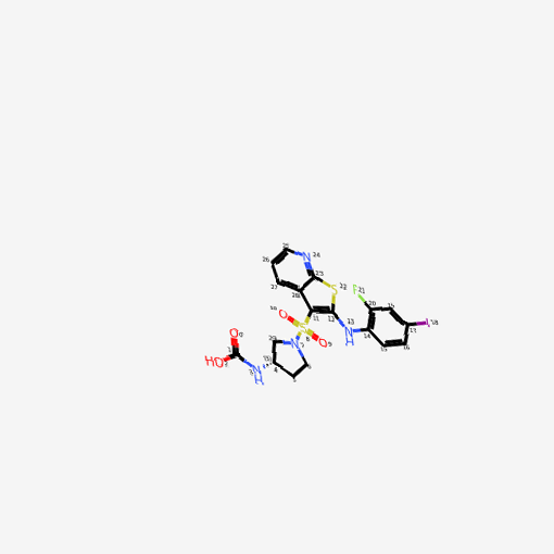 O=C(O)N[C@H]1CCN(S(=O)(=O)c2c(Nc3ccc(I)cc3F)sc3ncccc23)C1